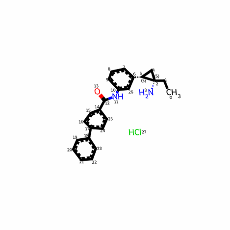 CC[C@]1(N)C[C@H]1c1cccc(NC(=O)c2ccc(-c3ccccc3)cc2)c1.Cl